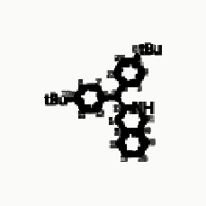 CC(C)(C)c1ccc(C(c2ccc(C(C)(C)C)cc2)[C@@H]2Cc3ccccc3CN2)cc1